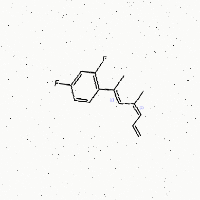 C=C/C=C(C)\C=C(/C)c1ccc(F)cc1F